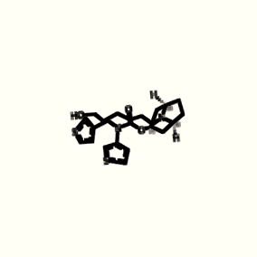 O=C(O[C@H]1C[C@H]2CC[C@@H](C1)N2CCCCCCO)N(Cc1ccsc1)c1ccsc1